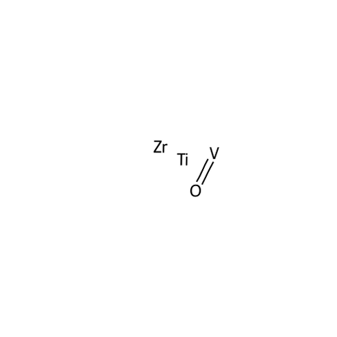 [O]=[V].[Ti].[Zr]